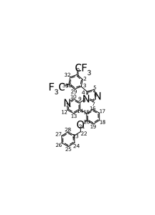 FC(F)(F)c1cc(-c2cncn2-c2cnccc2-c2ccccc2OCc2ccccc2)cc(C(F)(F)F)c1